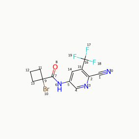 N#Cc1ncc(NC(=O)C2(Br)CCC2)cc1C(F)(F)F